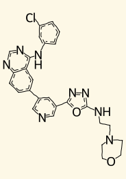 Clc1cccc(Nc2ncnc3ccc(-c4cncc(-c5nnc(NCCN6CCOCC6)o5)c4)cc23)c1